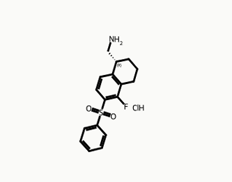 Cl.NC[C@@H]1CCCc2c1ccc(S(=O)(=O)c1ccccc1)c2F